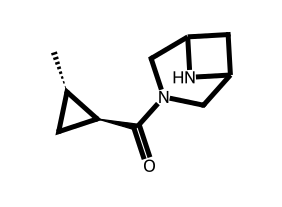 C[C@H]1C[C@@H]1C(=O)N1CC2CC(C1)N2